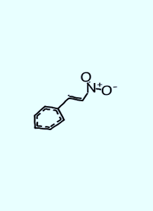 O=[N+]([O-])C=[C]c1ccccc1